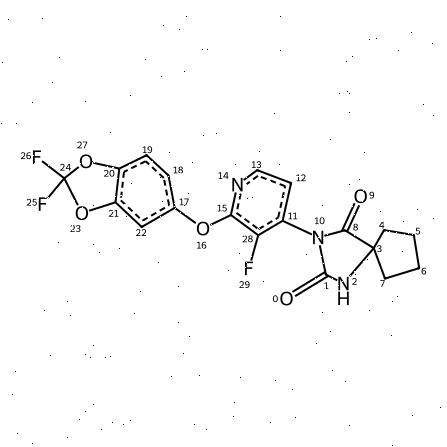 O=C1NC2(CCCC2)C(=O)N1c1ccnc(Oc2ccc3c(c2)OC(F)(F)O3)c1F